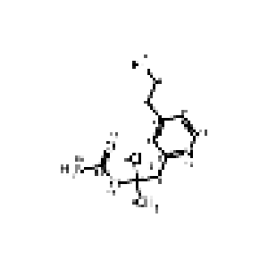 CC(C)(Cc1cc(CCBr)ccn1)OC(N)=O